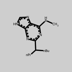 CBc1nc(C(CCC)CCCC)nc2[nH]cnc12